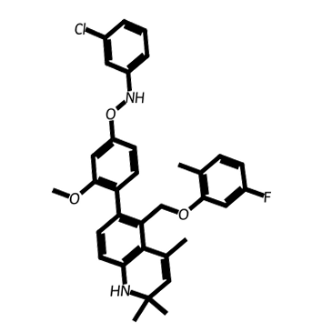 COc1cc(ONc2cccc(Cl)c2)ccc1-c1ccc2c(c1COc1cc(F)ccc1C)C(C)=CC(C)(C)N2